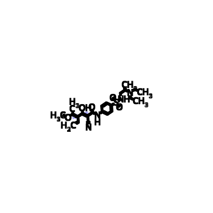 C=CC(/C(O)=C(\C#N)C(=O)Nc1ccc(S(=O)(=O)NCC(=C)N(CC)CC)cc1)=C(/C)OC